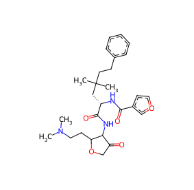 CN(C)CCC1OCC(=O)C1NC(=O)[C@H](CC(C)(C)CCc1ccccc1)NC(=O)c1ccoc1